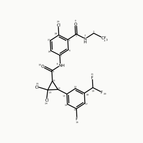 O=C(NCC(F)(F)F)c1cc(NC(=O)C2C(c3cc(F)cc(C(F)F)c3)C2(Cl)Cl)ccc1Cl